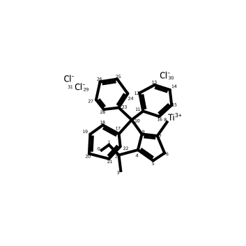 CCC(C)C1=CC[C]([Ti+3])=C1C(c1ccccc1)(c1ccccc1)c1ccccc1.[Cl-].[Cl-].[Cl-]